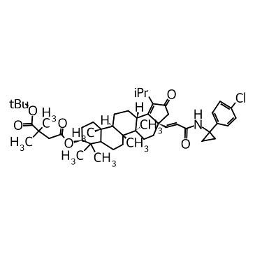 CC(C)C1=C2[C@H]3CC[C@@H]4[C@@]5(C)CC[C@H](OC(=O)CC(C)(C)C(=O)OC(C)(C)C)C(C)(C)C5CC[C@@]4(C)[C@]3(C)CC[C@@]2(/C=C/C(=O)NC2(c3ccc(Cl)cc3)CC2)CC1=O